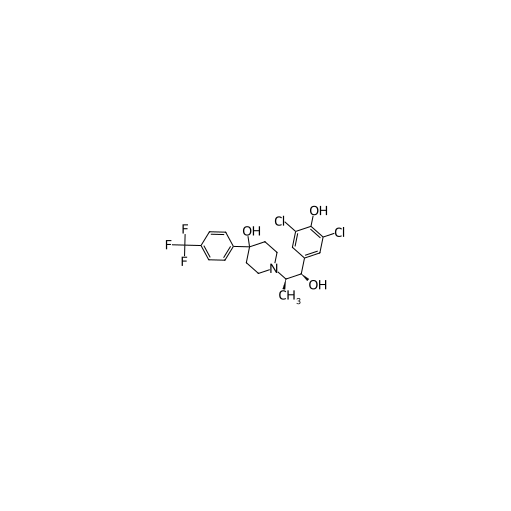 C[C@H]([C@H](O)c1cc(Cl)c(O)c(Cl)c1)N1CCC(O)(c2ccc(C(F)(F)F)cc2)CC1